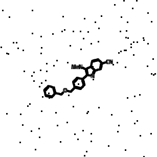 CNC1=C(c2ccc(COCc3ccccc3)cc2)N=C2C=C(C#N)C=CC21